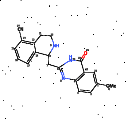 COc1ccc2nc(CC3NCCc4c(C#N)cccc43)[nH]c(=O)c2c1